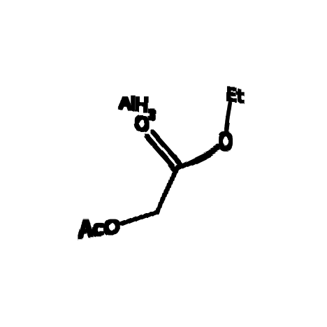 CCOC(=O)COC(C)=O.[AlH3]